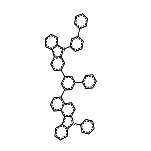 c1ccc(-c2cc(-c3ccc4c5ccccc5n(-c5cccc(-c6ccccc6)c5)c4c3)cc(-c3cccc4c3ccc3c4c4ccccc4n3-c3ccccc3)c2)cc1